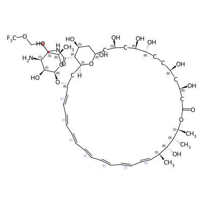 C[C@@H]1[C@H](O)[C@@H](C)/C=C/C=C/C=C/C=C/C=C/C=C/C=C/[C@H](O[C@@H]2O[C@H](C)[C@@H](O)[C@H](N)[C@@H]2O)C[C@@H]2O[C@](O)(C[C@@H](O)C[C@@H](O)[C@H](O)CC[C@@H](O)C[C@@H](O)CC(=O)O[C@H]1C)C[C@H](O)[C@H]2C(=O)NCCCOC(F)(F)F